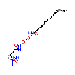 CCCCCC=CCC=CCC=CCC=CCCCC(=O)NCCOCCOCCNC(=O)CCCCC1SCC2NC(=O)NC21